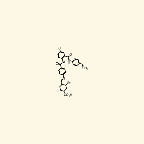 C=Cc1ccc(NC(=O)c2cc(Cl)ccc2NC(=O)c2ccc(N=CN3CCC(C(=O)O)CC3CC)cc2)nc1